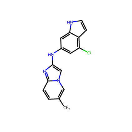 FC(F)(F)c1ccc2nc(Nc3cc(Cl)c4cc[nH]c4c3)cn2c1